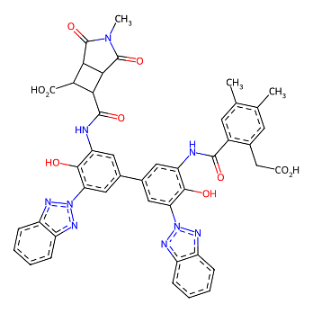 Cc1cc(CC(=O)O)c(C(=O)Nc2cc(-c3cc(NC(=O)C4C(C(=O)O)C5C(=O)N(C)C(=O)C45)c(O)c(-n4nc5ccccc5n4)c3)cc(-n3nc4ccccc4n3)c2O)cc1C